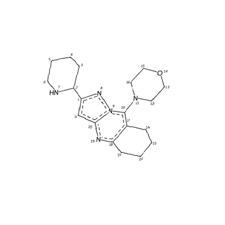 c1c(C2CCCCN2)nn2c(N3CCOCC3)c3c(nc12)CCCC3